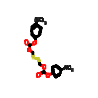 O=C(OCSSCOC(=O)Oc1ccc([N+](=O)[O-])cc1)Oc1ccc([N+](=O)[O-])cc1